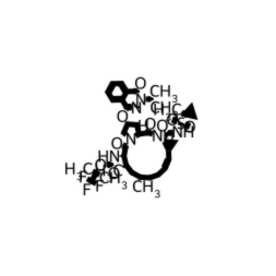 CC(C)n1nc(O[C@@H]2C[C@H]3C(=O)N[C@]4(C(=O)NS(=O)(=O)C5(C)CC5)CC4/C=C\CC[C@H](C)C[C@@H](C)[C@H](NC(=O)OC(C)(C)C(F)(F)F)C(=O)N3C2)c2ccccc2c1=O